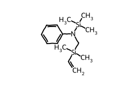 C=C[Si](C)(C)CN(c1ccccc1)[Si](C)(C)C